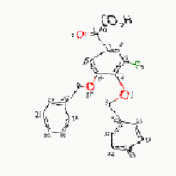 O=C(O)C(=O)c1cc(F)c(OCc2ccccc2)c(OCc2ccccc2)c1